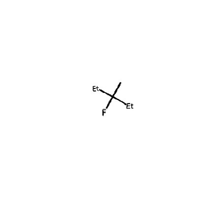 [CH2]CC(C)(F)CC